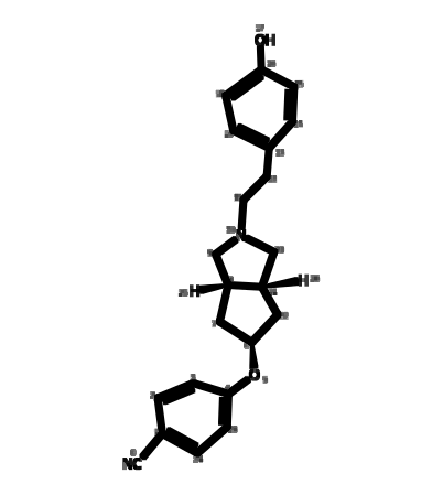 N#Cc1ccc(O[C@H]2C[C@@H]3CN(CCc4ccc(O)cc4)C[C@@H]3C2)cc1